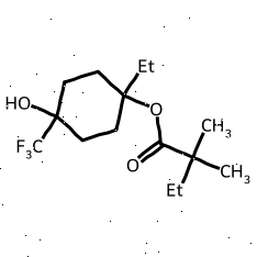 CCC1(OC(=O)C(C)(C)CC)CCC(O)(C(F)(F)F)CC1